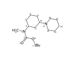 CN(C(=O)OC(C)(C)C)C1CCCC(N2CCCCC2)C1